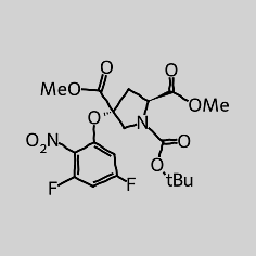 COC(=O)[C@@H]1C[C@](Oc2cc(F)cc(F)c2[N+](=O)[O-])(C(=O)OC)CN1C(=O)OC(C)(C)C